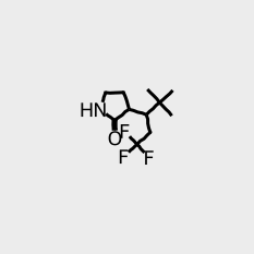 CC(C)(C)C(CC(F)(F)F)C1CCNC1=O